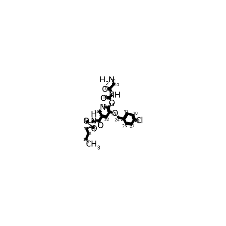 CCCCS(=O)(=O)NC(=O)c1cnc(OC(=O)NC(=O)CN)c(OCc2ccc(Cl)cc2)c1